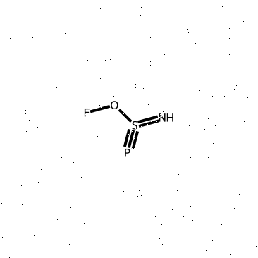 N=S(#P)OF